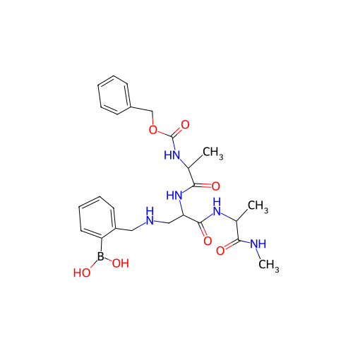 CNC(=O)C(C)NC(=O)C(CNCc1ccccc1B(O)O)NC(=O)C(C)NC(=O)OCc1ccccc1